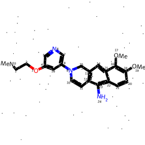 CNCCOc1cncc(N2C=Cc3c(cc4c(OC)c(OC)ccc4c3N)C2)c1